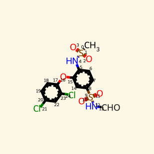 CS(=O)(=O)Nc1ccc(S(=O)(=O)NC=O)cc1Oc1ccc(Cl)cc1Cl